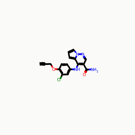 C#CCOc1ccc(Nc2c(C(N)=O)cnn3cccc23)cc1Cl